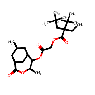 CCC(CC(C)(C)C)(C(=O)OCC(=O)OC1C2CC(C)CC(C2)C(=O)OC1C)C(C)(C)C